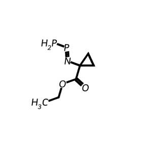 CCOC(=O)C1(N=PP)CC1